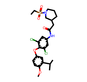 CCS(=O)(=O)N1CCCC(CC(=O)Nc2cc(Cl)c(Oc3ccc(OC)c(C(C)C)c3)c(Cl)c2)C1